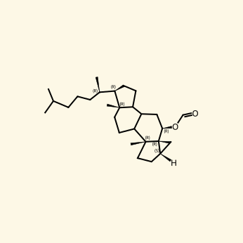 CC(C)CCC[C@@H](C)[C@H]1CCC2C3C[C@@H](OC=O)[C@]45C[C@@H]4CC[C@]5(C)C3CC[C@@]21C